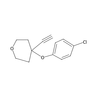 C#CC1(Oc2ccc(Cl)cc2)CCOCC1